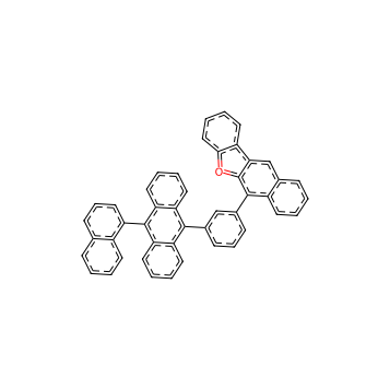 c1cc(-c2c3ccccc3c(-c3cccc4ccccc34)c3ccccc23)cc(-c2c3ccccc3cc3c2oc2ccccc23)c1